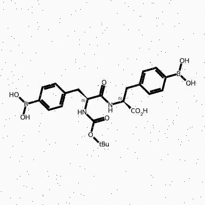 CC(C)(C)OC(=O)N[C@@H](Cc1ccc(B(O)O)cc1)C(=O)N[C@@H](Cc1ccc(B(O)O)cc1)C(=O)O